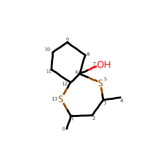 CC1CC(C)SC2(O)CCCCC2S1